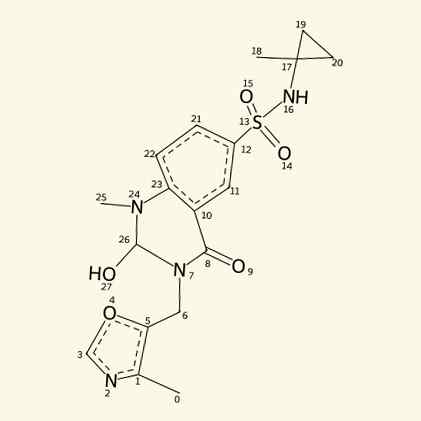 Cc1ncoc1CN1C(=O)c2cc(S(=O)(=O)NC3(C)CC3)ccc2N(C)C1O